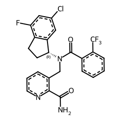 NC(=O)c1ncccc1CN(C(=O)c1ccccc1C(F)(F)F)[C@@H]1CCc2c(F)cc(Cl)cc21